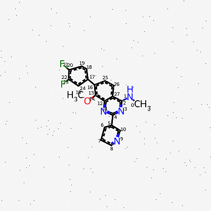 CNc1nc(-c2cccnc2)nc2c(OC)c(-c3ccc(F)c(F)c3)ccc12